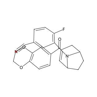 N#Cc1ccc(F)c(C2=CC3CCC(C2)N3C(=O)c2ccc3c(c2)OCCO3)c1